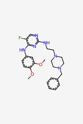 COc1ccc(Nc2nc(NCCN3CCN(Cc4ccccc4)CC3)ncc2F)cc1OC